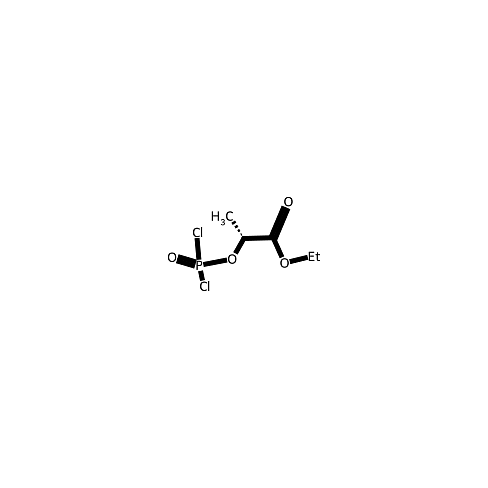 CCOC(=O)[C@@H](C)OP(=O)(Cl)Cl